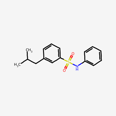 CC(C)Cc1cccc(S(=O)(=O)Nc2ccccc2)c1